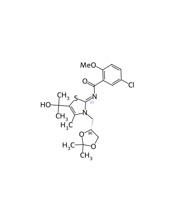 COc1ccc(Cl)cc1C(=O)/N=c1\sc(C(C)(C)O)c(C)n1C[C@@H]1COC(C)(C)O1